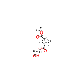 CC(C)OC(=O)C1CCCC(C(=O)OCCO)C1